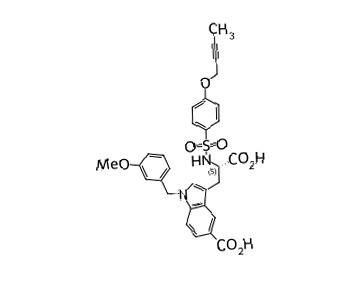 CC#CCOc1ccc(S(=O)(=O)N[C@@H](Cc2cn(Cc3cccc(OC)c3)c3ccc(C(=O)O)cc23)C(=O)O)cc1